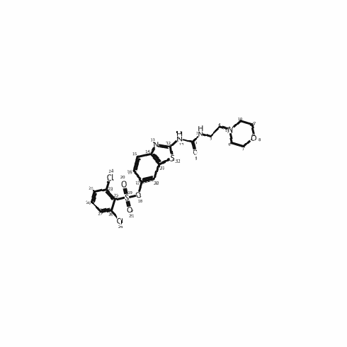 O=C(NCCN1CCOCC1)Nc1nc2ccc(OS(=O)(=O)c3c(Cl)cccc3Cl)cc2s1